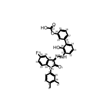 Cc1ccc(N2C(=O)C(=NNc3cccc(-c4cccc(OC(=O)O)c4)c3O)c3cc(F)ccc32)cc1C